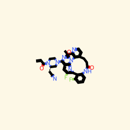 C=CC(=O)N1CCN(c2nc(=O)n3c4nc(c(F)cc24)-c2c(F)cccc2NC(=O)CCc2ccnc(C(C)C)c2-3)C[C@@H]1CC#N